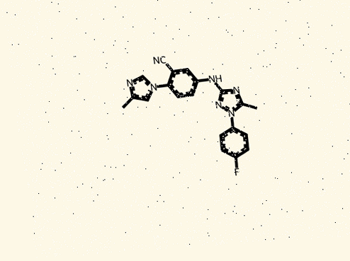 Cc1cn(-c2ccc(Nc3nc(C)n(-c4ccc(F)cc4)n3)cc2C#N)cn1